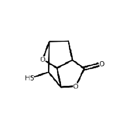 O=C1OC2C(S)C3CC1C2O3